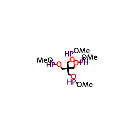 COPOCC(COPOC)(COPOC)COPOC